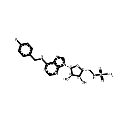 NS(=O)(=O)NC[C@H]1O[C@@H](n2cnc3c(NCc4ccc(F)cc4)ncnc32)[C@H](O)[C@@H]1O